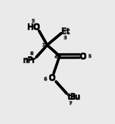 CCCC(O)(CC)C(=O)OC(C)(C)C